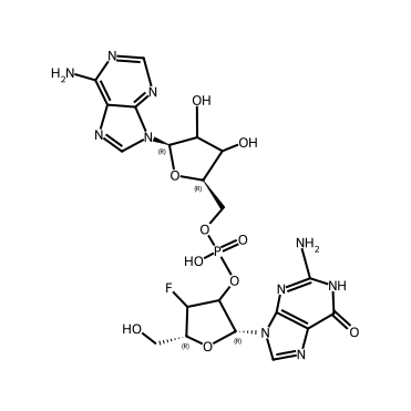 Nc1nc2c(ncn2[C@@H]2O[C@H](CO)C(F)C2OP(=O)(O)OC[C@H]2O[C@@H](n3cnc4c(N)ncnc43)C(O)C2O)c(=O)[nH]1